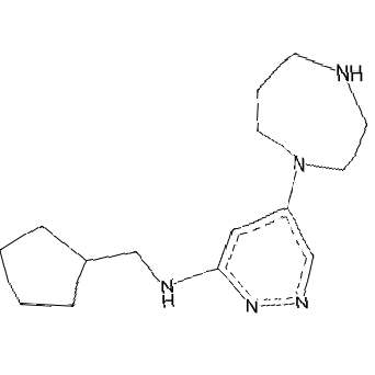 c1nnc(NCC2CCCC2)cc1N1CCCNCC1